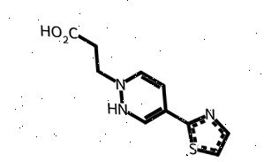 O=C(O)CCN1C=CC(c2nccs2)=CN1